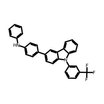 FC(F)(F)c1cccc(-n2c3ccccc3c3cc(-c4ccc(Nc5ccccc5)cc4)ccc32)c1